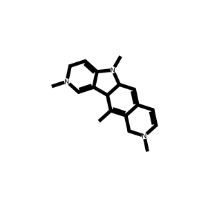 CC1=C2CN(C)C=CC2=CC2C1C1=CN(C)CC=C1N2C